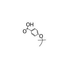 CCC(C)(C)Oc1ccc(C(=O)O)cc1